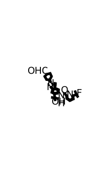 CC(C)(O)c1cc2nn(C3CCC(C=O)CC3)cc2cc1NC(=O)c1cccc(C(C)(C)F)n1